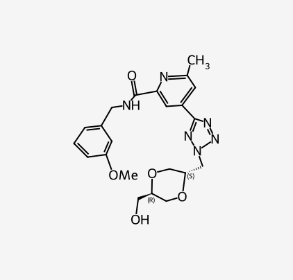 COc1cccc(CNC(=O)c2cc(-c3nnn(C[C@H]4CO[C@H](CO)CO4)n3)cc(C)n2)c1